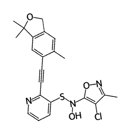 Cc1cc2c(cc1C#Cc1ncccc1SN(O)c1onc(C)c1Cl)C(C)(C)OC2